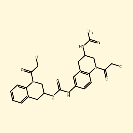 CC(=O)NC1Cc2cc(NC(=O)NC3Cc4ccccc4N(C(=O)CCl)C3)ccc2N(C(=O)CCl)C1